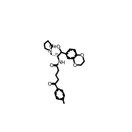 COC(c1ccc2c(c1)OCCO2)[C@@H](CN1CCCC1)NC(=O)CCCC(=O)c1ccc(C)cc1